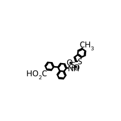 Cc1ccc2sc(S(=O)(=O)Nc3ccc(-c4cccc(C(=O)O)c4)c4ccccc34)cc2c1